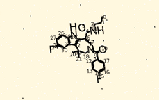 CCCNC(=O)C1=CN(C(=O)c2ccc(F)cc2)CC(C)(C)c2c1[nH]c1ccc(F)cc21